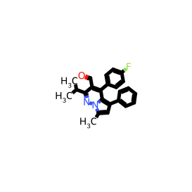 Cc1cc(-c2ccccc2)c2c(-c3ccc(F)cc3)c(C=O)c(C(C)C)nn12